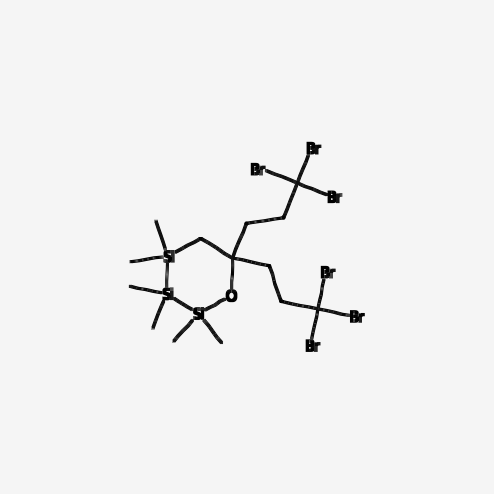 C[Si]1(C)CC(CCC(Br)(Br)Br)(CCC(Br)(Br)Br)O[Si](C)(C)[Si]1(C)C